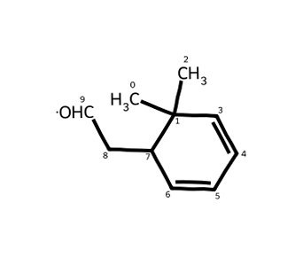 CC1(C)C=CC=CC1C[C]=O